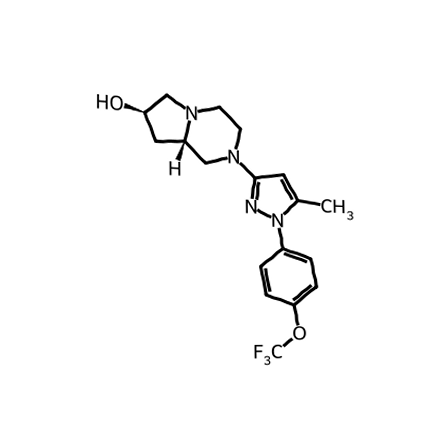 Cc1cc(N2CCN3C[C@H](O)C[C@H]3C2)nn1-c1ccc(OC(F)(F)F)cc1